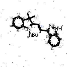 CCCC[N+]1=C(/C=C/c2n[nH]c3ccccc23)C(C)(C)c2ccccc21